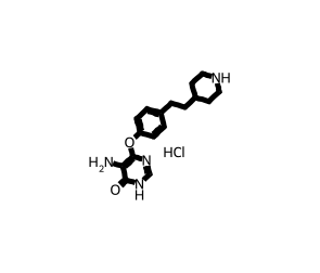 Cl.Nc1c(Oc2ccc(CCC3CCNCC3)cc2)nc[nH]c1=O